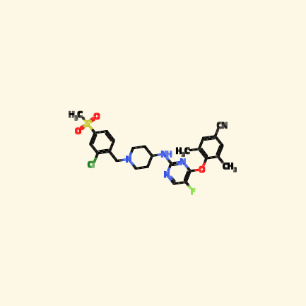 Cc1cc(C#N)cc(C)c1Oc1nc(NC2CCN(Cc3ccc(S(C)(=O)=O)cc3Cl)CC2)ncc1F